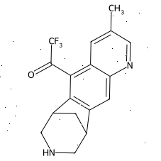 Cc1cnc2cc3c(c(C(=O)C(F)(F)F)c2c1)C1CNCC3C1